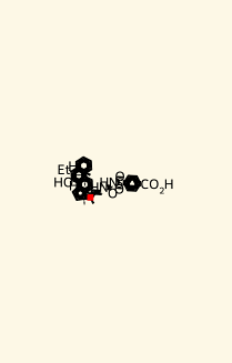 CC[C@H]1[C@@H](O)[C@H]2[C@@H]3CC[C@](C)([C@H](C)CCNC(=O)NS(=O)(=O)c4ccc(C(=O)O)cc4)[C@@]3(C)CC[C@]2(C)[C@@]2(C)CCCC[C@@H]12